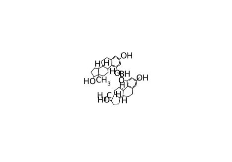 C[C@]12CC[C@@H]3c4c(cc(O)cc4OBOc4cc(O)cc5c4[C@H]4CC[C@]6(C)[C@H](O)CC[C@H]6[C@@H]4CC5)CC[C@H]3[C@@H]1CC[C@H]2O